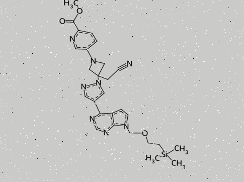 COC(=O)c1ccc(N2CC(CC#N)(n3cc(-c4ncnc5c4ccn5COCC[Si](C)(C)C)cn3)C2)cn1